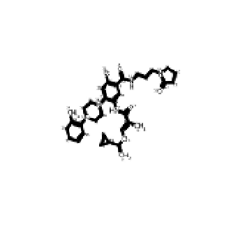 C=C(O/C=C(\C)C(=O)Nc1cc(C(=O)NCCCN2CCCC2=O)c(CC)cc1N1CCN(C2=C(C)CCC=C2)CC1)C1CC1